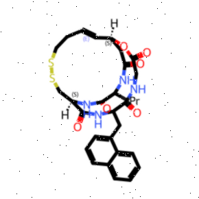 CC(C)C1NC(=O)C[C@H]2/C=C/CCSSC[C@@H](NC1=O)C(=O)NC(Cc1cccc3ccccc13)C(=O)NCC(=O)O2